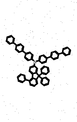 c1ccc(-c2ccc(-c3ccc(N(c4ccc(-c5ccc(-c6ccccc6)cc5)cc4)c4ccc5c(c4)C(c4ccccc4)(c4ccccc4)c4cccc(-c6ccccc6)c4-5)cc3)cc2)cc1